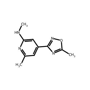 CNc1cc(-c2noc(C)n2)cc(C)n1